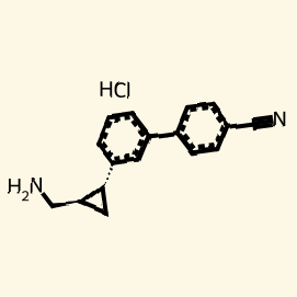 Cl.N#Cc1ccc(-c2cccc([C@@H]3C[C@H]3CN)c2)cc1